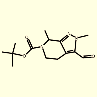 CC1c2nn(C)c(C=O)c2CCN1C(=O)OC(C)(C)C